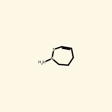 [InH2][N]1CCCC=CS1